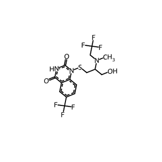 CN(CC(F)(F)F)C(CO)CSn1c(=O)[nH]c(=O)c2cc(C(F)(F)F)ccc21